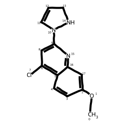 COc1ccc2c(Cl)cc(N3C=CCN3)nc2c1